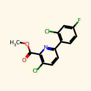 COC(=O)c1nc(-c2ccc(F)cc2Cl)ccc1Cl